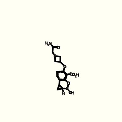 NC(=O)CN1CC(Oc2ccc3c(c2C(=O)O)OB(O)[C@@H]2CC32)C1